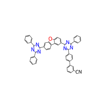 N#Cc1cccc(-c2ccc(-c3nc(-c4ccccc4)nc(-c4ccc5oc6cc(-c7nc(-c8ccccc8)nc(-c8ccccc8)n7)ccc6c5c4)n3)cc2)c1